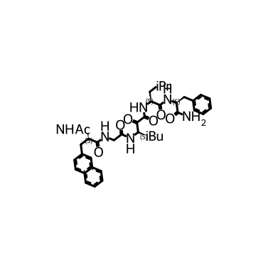 CC[C@H](C)C(NC(=O)CNC(=O)[C@H](Cc1ccc2ccccc2c1)NC(C)=O)C(=O)C(=O)N[C@@H](CC(C)C)C(=O)N[C@@H](Cc1ccccc1)C(N)=O